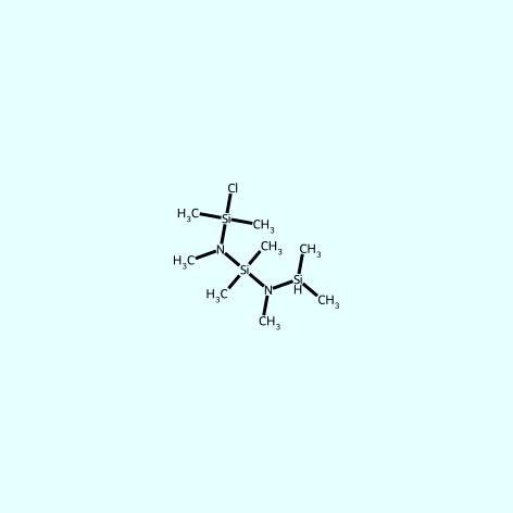 CN([SiH](C)C)[Si](C)(C)N(C)[Si](C)(C)Cl